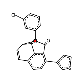 O=C1c2c3ccc(-c4ccsc4)c2C(=O)N(c2cccc(Cl)c2)C1C=C3